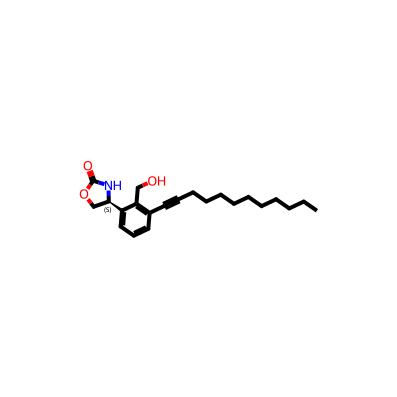 CCCCCCCCCCC#Cc1cccc([C@H]2COC(=O)N2)c1CO